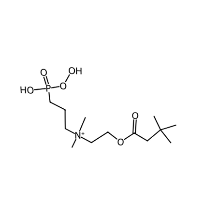 CC(C)(C)CC(=O)OCC[N+](C)(C)CCCP(=O)(O)OO